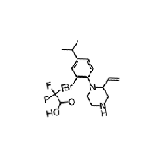 C=CC1CNCCN1c1ccc(C(C)C)cc1Br.O=C(O)C(F)(F)F